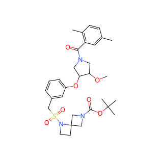 COC1CN(C(=O)c2cc(C)ccc2C)CC1Oc1cccc(CS(=O)(=O)N2CCC23CN(C(=O)OC(C)(C)C)C3)c1